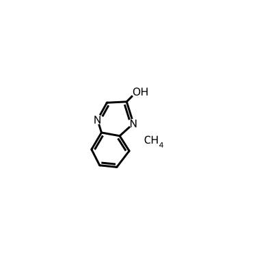 C.Oc1cnc2ccccc2n1